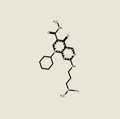 CNC(=O)c1cn(C2CCCCC2)c2nc(NCCCN(C)C)ncc2c1=O